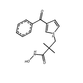 CC(C)(C[SH]1C=CC(C(=O)c2ccccc2)=C1)C(=O)NO